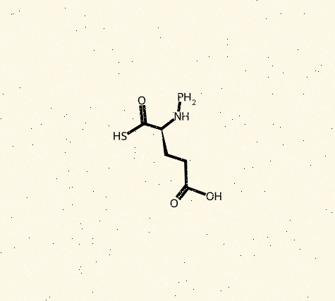 O=C(O)CC[C@H](NP)C(=O)S